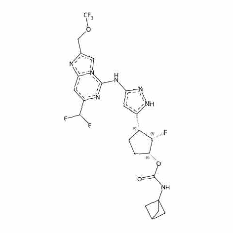 O=C(NC12CC(C1)C2)O[C@@H]1CC[C@H](c2cc(Nc3nc(C(F)F)cc4nc(COC(F)(F)F)cn34)n[nH]2)[C@@H]1F